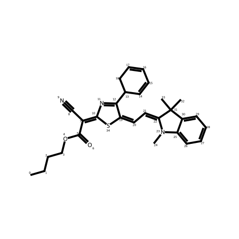 CCCCOC(=O)/C(C#N)=c1/nc(C2C=CC=CC2)/c(=C\C=C2/N(C)c3ccccc3C2(C)C)s1